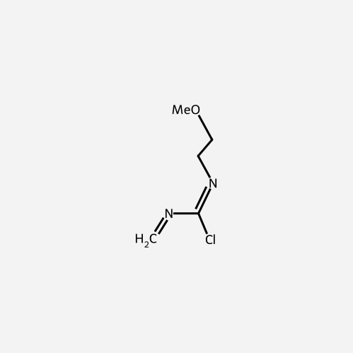 C=N/C(Cl)=N\CCOC